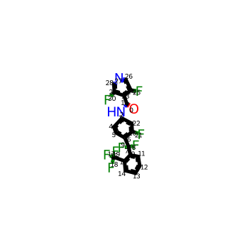 O=C(Nc1ccc(C(F)(F)c2ccccc2C(F)(F)F)c(F)c1)c1c(F)cncc1F